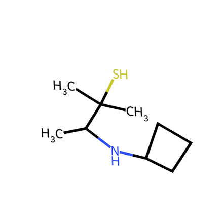 CC(NC1CCC1)C(C)(C)S